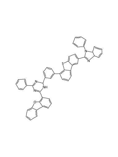 C1=CC2N=C(c3ccc4sc5c(-c6cccc(C7N=C(c8ccccc8)N=C(c8cccc9c8oc8ccccc89)N7)c6)cccc5c4c3)N(c3ccccc3)C2C=C1